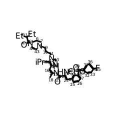 CCC(CC)C(=O)N1CCN(CCCn2cnc(/C=C(/C)NC(=O)/C(=C/c3cccc(C(=O)c4ccc(F)cc4)c3)NC=O)c2C(C)C)CC1